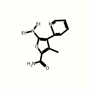 CCN(CC)c1oc(C(N)=O)c(C)c1-c1ccccn1